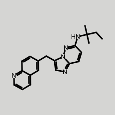 CCC(C)(C)Nc1ccc2ncc(Cc3ccc4ncccc4c3)n2n1